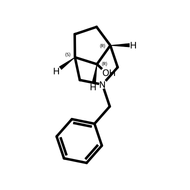 O[C@H]1[C@@H]2CC[C@H]1CN(Cc1ccccc1)C2